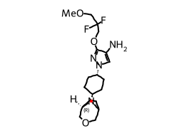 COCC(F)(F)COc1nn([C@H]2CC[C@H](N3C4CC[C@@H]3COC4)CC2)cc1N